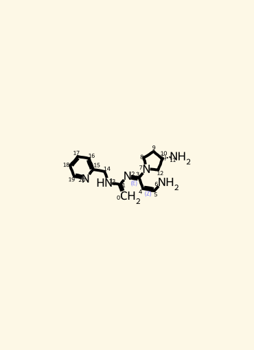 C=C(/N=C(\C=C/N)N1CC[C@H](N)C1)NCc1ccccn1